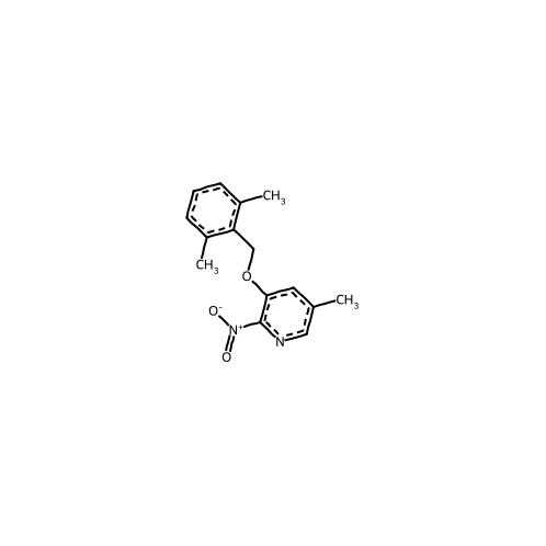 Cc1cnc([N+](=O)[O-])c(OCc2c(C)cccc2C)c1